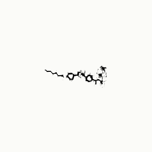 CCCCCCCOc1ccc(-c2cnc(-c3ccc(C(C)C(NC(=O)OC(C)(C)C)C(=O)O)cc3)s2)cc1